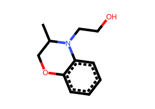 CC1COc2ccccc2N1CCO